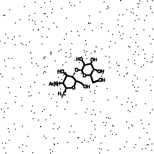 CC(=O)NC1C(O)[C@H](O[C@@H]2OC(CO)[C@H](O)C(O)C2O)C(CO)O[C@H]1C